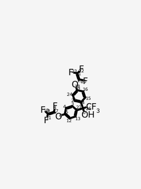 OC(c1ccc(OC(F)=C(F)F)cc1)(c1ccc(OC(F)=C(F)F)cc1)C(F)(F)F